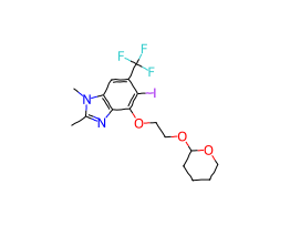 Cc1nc2c(OCCOC3CCCCO3)c(I)c(C(F)(F)F)cc2n1C